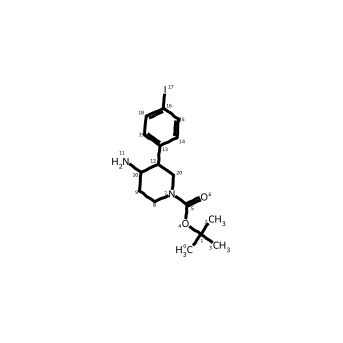 CC(C)(C)OC(=O)N1CCC(N)C(c2ccc(I)cc2)C1